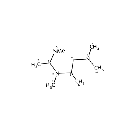 CNC(C)N(C)C(C)CN(C)C